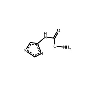 NOC(=O)Nc1cscn1